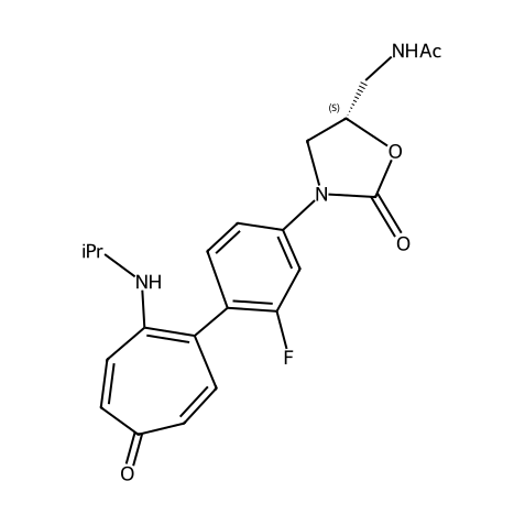 CC(=O)NC[C@H]1CN(c2ccc(-c3ccc(=O)ccc3NC(C)C)c(F)c2)C(=O)O1